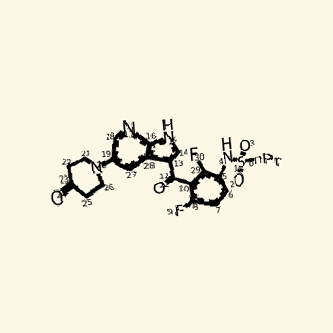 CCCS(=O)(=O)Nc1ccc(F)c(C(=O)c2c[nH]c3ncc(N4CCC(=O)CC4)cc23)c1F